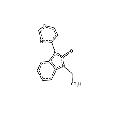 O=C(O)Cn1c(=O)n(-c2ccncn2)c2ccccc21